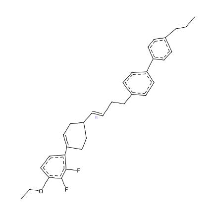 CCCc1ccc(-c2ccc(CC/C=C/C3CC=C(c4ccc(OCC)c(F)c4F)CC3)cc2)cc1